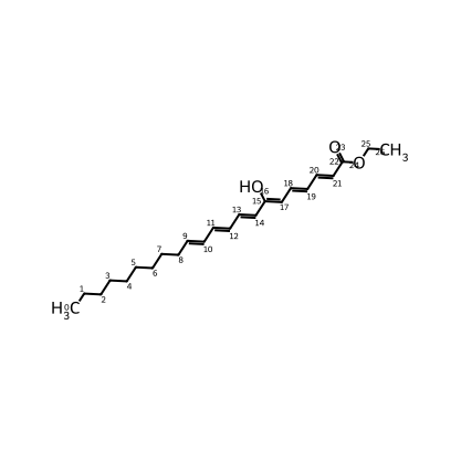 CCCCCCCCC/C=C/C=C/C=C/C(O)=C/C=C/C=C/C(=O)OCC